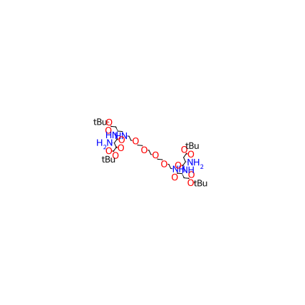 CC(C)(C)OC(=O)C[C@@H](CNCCOCCOCCOCCOCCNC(=O)[C@H](CC(=O)OC(C)(C)C)NC(=O)[C@@H](N)CC(=O)OC(C)(C)C)NC(=O)[C@@H](N)C(=O)C(=O)OC(C)(C)C